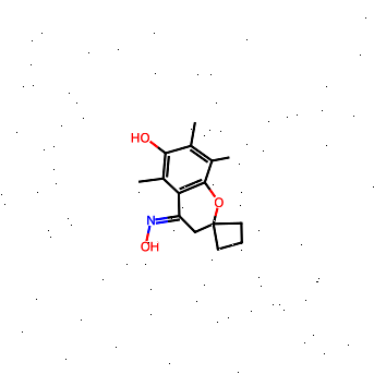 Cc1c(C)c2c(c(C)c1O)C(=NO)CC1(CCC1)O2